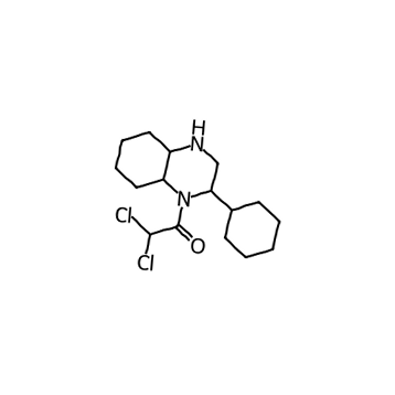 O=C(C(Cl)Cl)N1C(C2CCCCC2)CNC2CCCCC21